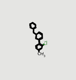 Cc1ccc(C2=CC=CC(Cc3ccccc3)C2)c(Cl)c1